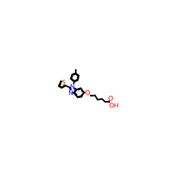 Cc1ccc(-n2c(-c3cccs3)nc3ccc(OCCCCCC(=O)O)cc32)cc1